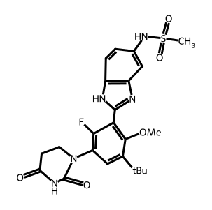 COc1c(C(C)(C)C)cc(N2CCC(=O)NC2=O)c(F)c1-c1nc2cc(NS(C)(=O)=O)ccc2[nH]1